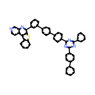 c1ccc(-c2ccc(-c3nc(-c4ccccc4)nc(-c4ccc(-c5ccc(-c6cccc(-c7nc8cnccc8c8c7sc7ccccc78)c6)cc5)cc4)n3)cc2)cc1